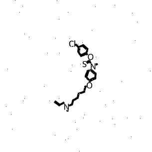 C=CCN(C)CCCCCCOc1ccc(N(C)C(=S)Oc2ccc(Cl)cc2)cc1